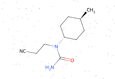 C[C@H]1CC[C@H](N(CCC#N)C(N)=O)CC1